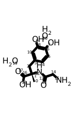 C[C@@](Cc1ccc(O)c(O)c1)(NC(=O)CN)C(=O)O.O.O